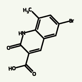 Cc1cc(Br)cc2cc(C(=O)O)c(=O)[nH]c12